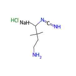 CC(N=C=N)C(C)(C)CCN.Cl.[NaH]